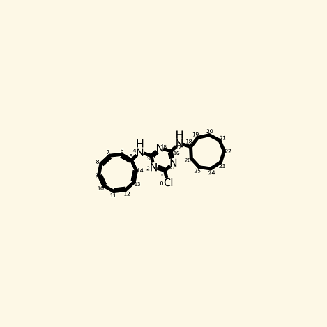 Clc1nc(Nc2ccccccccc2)nc(NC2CCCCCCCC2)n1